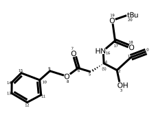 C#CC(O)[C@H](CC(=O)OCc1ccccc1)NC(=O)OC(C)(C)C